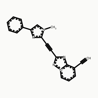 C#Cc1cccn2nc(C#Cc3nc(-c4ccccc4)cn3C)nc12